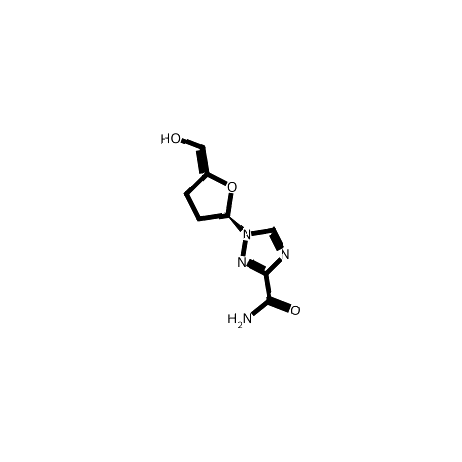 NC(=O)c1ncn([C@H]2CC/C(=C\O)O2)n1